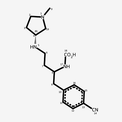 CN1CC[C@@H](NCCC(Cc2ccc(C#N)cc2)NC(=O)O)C1